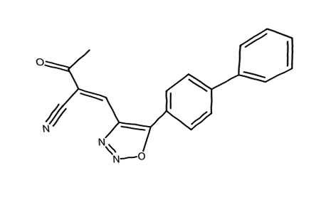 CC(=O)/C(C#N)=C/c1nnoc1-c1ccc(-c2ccccc2)cc1